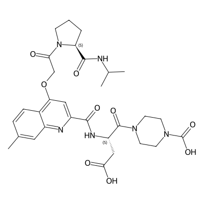 Cc1ccc2c(OCC(=O)N3CCC[C@H]3C(=O)NC(C)C)cc(C(=O)N[C@@H](CC(=O)O)C(=O)N3CCN(C(=O)O)CC3)nc2c1